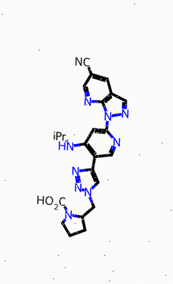 CC(C)Nc1cc(-n2ncc3cc(C#N)cnc32)ncc1-c1cn(CC2CCCN2C(=O)O)nn1